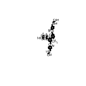 Cc1c(COc2ccc(CNCCO)cc2Br)cccc1-c1cccc(COc2ccc(CNCCO)cc2Br)c1C.O=C(O)C(F)(F)F.O=C(O)C(F)(F)F